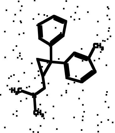 Cc1cccc(C2(c3ccccc3)CC2CN(C)C)c1